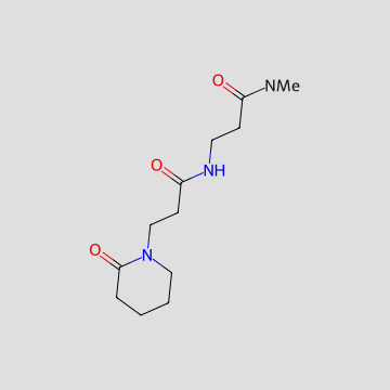 CNC(=O)CCNC(=O)CCN1CCCCC1=O